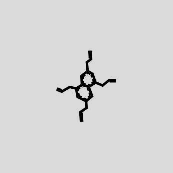 C=CCc1cc(CC=C)c2cc(CC=C)cc(CC=C)c2c1